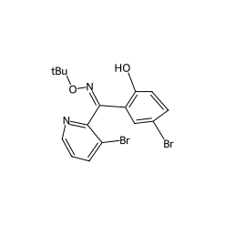 CC(C)(C)O/N=C(/c1cc(Br)ccc1O)c1ncccc1Br